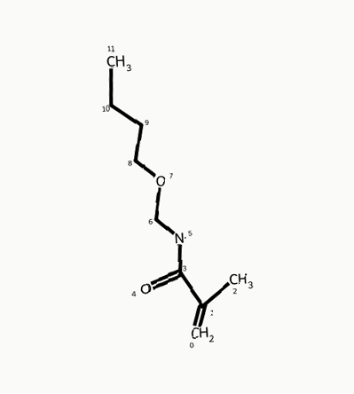 C=C(C)C(=O)[N]COCCCC